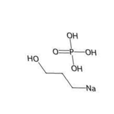 O=P(O)(O)O.OCC[CH2][Na]